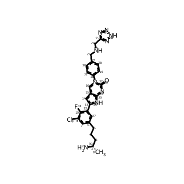 C[C@H](N)CCCc1cc(Cl)c(F)c(-c2cc3cn(-c4ccc(CNCc5nn[nH]n5)cc4)c(=O)nc3[nH]2)c1